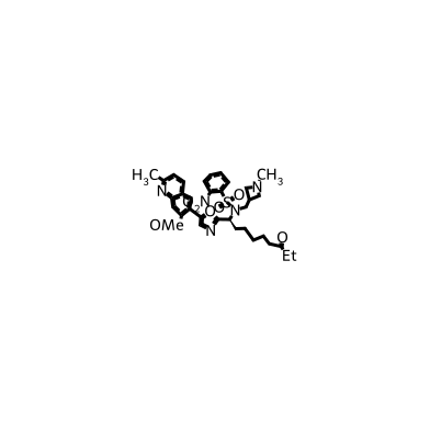 CCC(=O)CCCCC[C@@H](c1ncc(-c2cc3ccc(C)nc3cc2OC)o1)N(CC1CN(C)C1)S(=O)(=O)c1ccccc1[N+](=O)[O-]